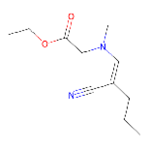 CCCC(C#N)=CN(C)CC(=O)OCC